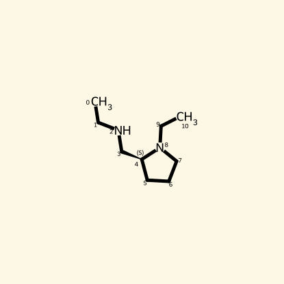 CCNC[C@@H]1CCCN1CC